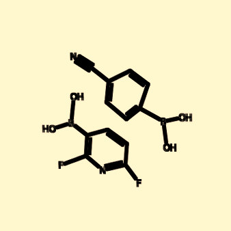 N#Cc1ccc(B(O)O)cc1.OB(O)c1ccc(F)nc1F